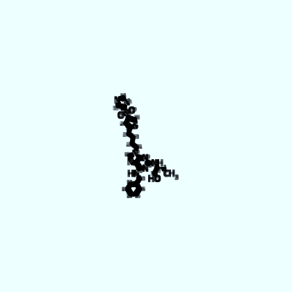 CC[C@H](CO)Nc1nc(NCc2ccccc2)c2ncn(CCCCc3cc(S(=O)(=O)n4cncn4)cs3)c2n1